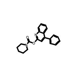 O=C(Oc1cc(-c2ccccc2)c2ccccc2n1)N1CCCCC1